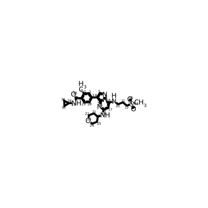 Cc1cc(-c2cnn3c(NCCCS(C)(=O)=O)cc(NC4CCOCC4)nc23)ccc1C(=O)NC1CC1